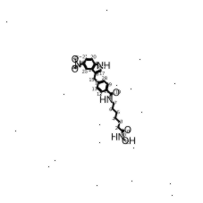 O=C(CCCCCCNC(=O)c1ccc(Cc2c[nH]c3ccc([N+](=O)[O-])cc23)cc1)NO